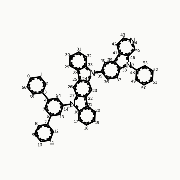 c1ccc(-c2cc(-c3ccccc3)cc(-n3c4ccccc4c4cc5c(cc43)c3ccccc3n5-c3ccc4c(c3)c3ccncc3n4-c3ccccc3)c2)cc1